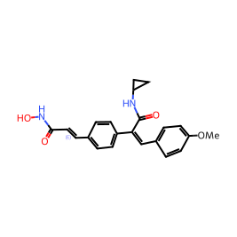 COc1ccc(C=C(C(=O)NC2CC2)c2ccc(/C=C/C(=O)NO)cc2)cc1